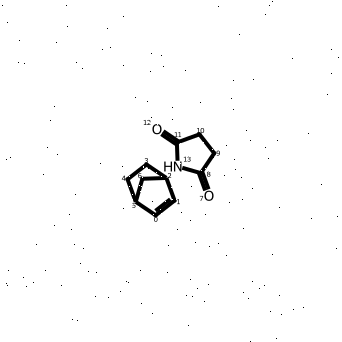 C1=CC2CCC1C2.O=C1CCC(=O)N1